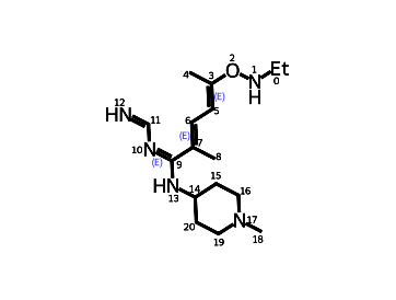 CCNO/C(C)=C/C=C(C)/C(=N\C=N)NC1CCN(C)CC1